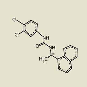 C[C@@H](NC(=O)Nc1ccc(Cl)c(Cl)c1)c1cccc2ccccc12